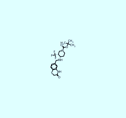 CC(C)(C)OC(=O)N1CC[C@H](NCc2ccc3c(c2)NC(=O)CS3)[C@H](C(F)(F)F)C1